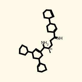 C[C@H](CCC(=N)C1=CCC(C2C=CCCC2)CC1)C(N)C1=CC(C2CCCCC2)CC(C2=CCCCC2)C1